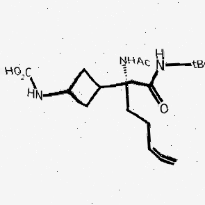 C=CCC[C@](NC(C)=O)(C(=O)NC(C)(C)C)C1CC(NC(=O)O)C1